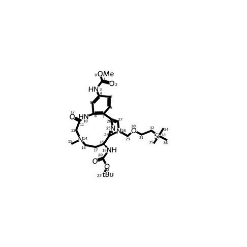 COC(=O)Nc1ccc2c(c1)NC(=O)CN(C)CC[C@H](NC(=O)OC(C)(C)C)c1nc-2cn1COCC[Si](C)(C)C